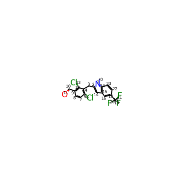 Cn1c(Cc2c(Cl)ccc(C=O)c2Cl)cc2cc(C(F)(F)F)ccc21